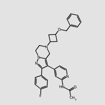 CC(=O)Nc1cc(-c2c(-c3ccc(F)cc3)nn3c2CN(C2CC(OCc4ccccc4)C2)CC3)ccn1